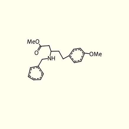 COC(=O)CC(CCc1ccc(OC)cc1)NCc1ccccc1